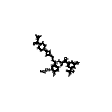 CN(C[C@@H](CCN1CC(N2CCN(C(=O)C3CC3)CC2)C1)c1ccc(F)cc1)C(=O)c1cc(Br)cc(C(F)(F)F)c1.Cl.Cl